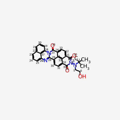 CC(C)(C)N(CCO)N1C(=O)c2ccc3c(=O)n4c5cccc6cccc(nc4c4ccc(c2c34)C1=O)c65